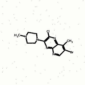 Cc1c(Br)cnc2nc(N3CCN(C)CC3)c(Cl)nc12